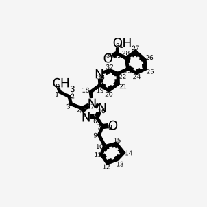 CCCCc1nc(C(=O)Cc2ccccc2)nn1Cc1ccc(-c2ccccc2C(=O)O)cn1